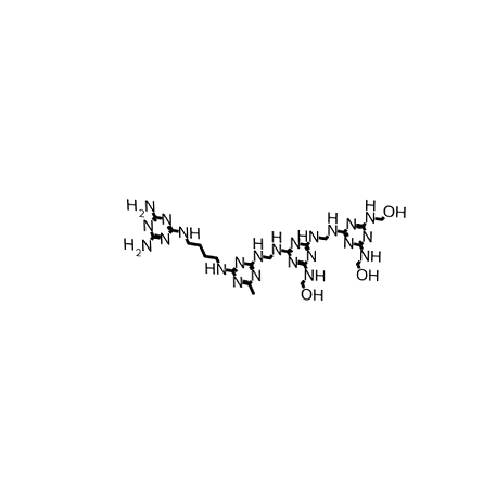 Cc1nc(NCCCCNc2nc(N)nc(N)n2)nc(NCNc2nc(NCO)nc(NCNc3nc(NCO)nc(NCO)n3)n2)n1